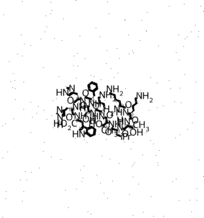 CC(C)C[C@H](NC(=O)[C@@H](NC(=O)[C@H](CCCCN)NC(=O)[C@@H](N)CCCCN)[C@@H](C)O)C(=O)N[C@H](C(=O)N[C@@H](CCCCN)C(=O)N[C@@H](CO)C(=O)N[C@@H](Cc1ccccc1)C(=O)N[C@@H](Cc1c[nH]cn1)C(=O)N[C@@H](Cc1c[nH]cn1)C(=O)N[C@@H](Cc1c[nH]c2ccccc12)C(=O)O)[C@@H](C)O